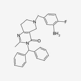 Bc1cc(CN2CCc3nc(C)n(C(c4ccccc4)c4ccccc4)c(=O)c3C2)ccc1F